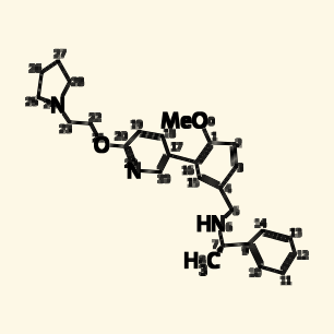 COc1ccc(CN[C@H](C)c2ccccc2)cc1-c1ccc(OCCN2CCCC2)nc1